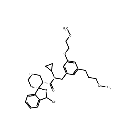 COCCCc1cc(CN(C(=O)[C@H]2CNCC[C@@]23OC(O)c2ccccc23)C2CC2)cc(OCCOC)c1